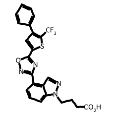 O=C(O)CCCn1ncc2c(-c3noc(-c4cc(-c5ccccc5)c(C(F)(F)F)s4)n3)cccc21